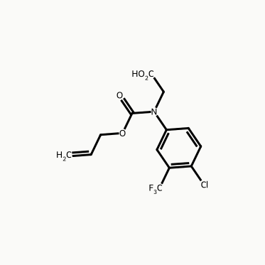 C=CCOC(=O)N(CC(=O)O)c1ccc(Cl)c(C(F)(F)F)c1